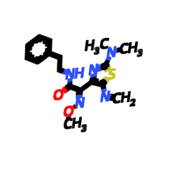 C=Nc1sc(N(C)C)nc1/C(=N/OC)C(=O)NCCc1ccccc1